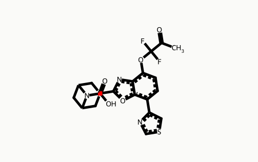 CC(=O)C(F)(F)Oc1ccc(-c2cscn2)c2oc(N3CC4CC(C3)N4C(=O)O)nc12